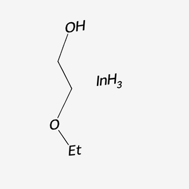 CCOCCO.[InH3]